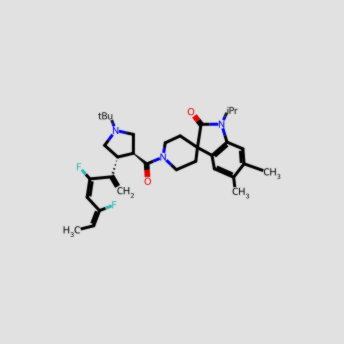 C=C(/C(F)=C\C(F)=C/C)[C@@H]1CN(C(C)(C)C)C[C@H]1C(=O)N1CCC2(CC1)C(=O)N(C(C)C)c1cc(C)c(C)cc12